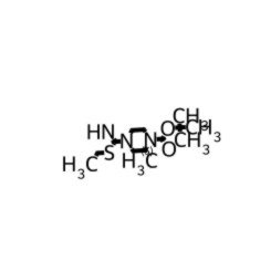 CCSC(=N)N1CCN(C(=O)OC(C)(C)C)[C@@H](C)C1